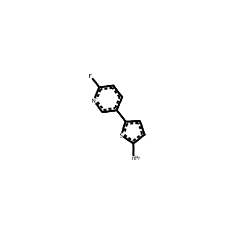 CCCc1ccc(-c2ccc(F)nc2)s1